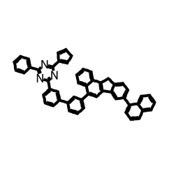 C1=CC(c2nc(-c3ccccc3)nc(-c3cccc(-c4cccc(-c5cc6c(c7ccccc57)Cc5ccc(-c7cccc8ccccc78)cc5-6)c4)c3)n2)=CC1